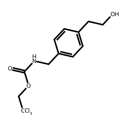 O=C(NCc1ccc(CCO)cc1)OCC(Cl)(Cl)Cl